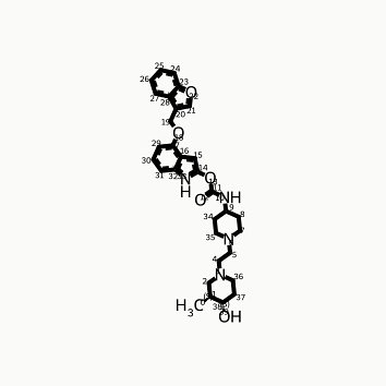 C[C@H]1CN(CCN2CCC(NC(=O)Oc3cc4c(OCc5coc6ccccc56)cccc4[nH]3)CC2)CC[C@@H]1O